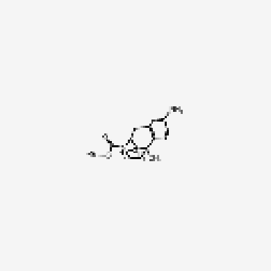 CC(C)(C)OC(=O)N1CCC2(C)c3ccc(N)cc3CC1C2(C)C